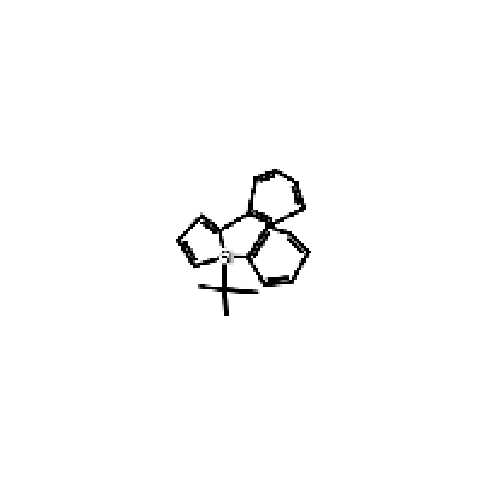 CC(C)(C)[Si]1(c2ccccc2)C=CC=C1c1ccccc1